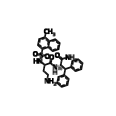 Cc1ccc(S(=O)(=O)NC(CCN)C(=O)N[C@H](C(N)=O)C(c2ccccc2)c2ccccc2)c2ccccc12